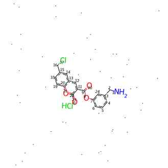 Cl.NCc1cccc(OC(=O)c2cc3cc(CCl)ccc3oc2=O)c1